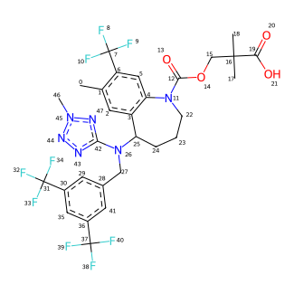 Cc1cc2c(cc1C(F)(F)F)N(C(=O)OCC(C)(C)C(=O)O)CCCC2N(Cc1cc(C(F)(F)F)cc(C(F)(F)F)c1)c1nnn(C)n1